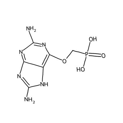 Nc1nc(OCP(=O)(O)O)c2[nH]c(N)nc2n1